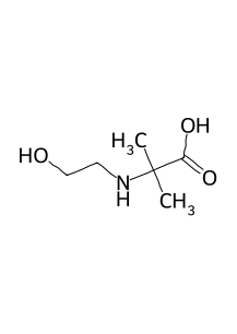 CC(C)(NCCO)C(=O)O